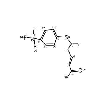 CC(=O)/C=C/CC(C)Sc1ccc(C(F)(F)F)cc1